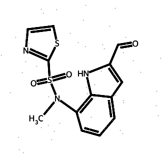 CN(c1cccc2cc(C=O)[nH]c12)S(=O)(=O)c1nccs1